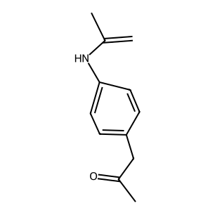 C=C(C)Nc1ccc(CC(C)=O)cc1